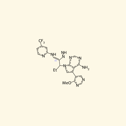 CCC(/C(=C/Nc1cc(C(F)(F)F)ccn1)N=N)n1cc(-c2cncnc2OC)c2c(N)ncnc21